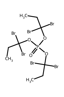 CCC(Br)(Br)OP(=O)(OC(Br)(Br)CC)OC(Br)(Br)CC